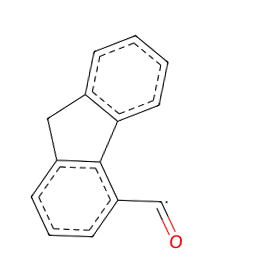 O=[C]c1cccc2c1-c1ccccc1C2